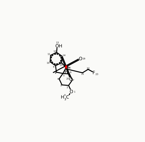 COC1CCC2(CC1)Cc1ccc(O)cc1C21NC(=O)N(CCF)C1=O